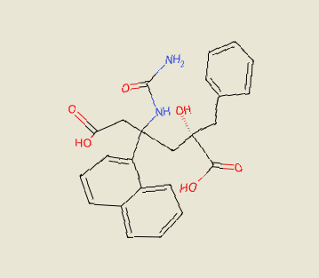 NC(=O)NC(CC(=O)O)(C[C@@](O)(Cc1ccccc1)C(=O)O)c1cccc2ccccc12